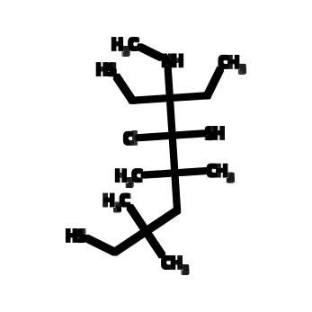 CCC(CS)(NC)C(S)(Cl)C(C)(C)CC(C)(C)CS